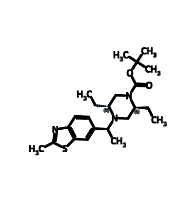 CC[C@H]1CN(C(C)c2ccc3nc(C)sc3c2)[C@H](CC)CN1C(=O)OC(C)(C)C